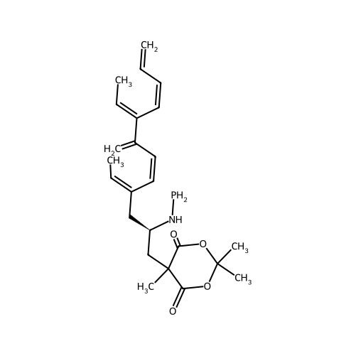 C=C/C=C\C(=C/C)C(=C)/C=C\C(=C/C)C[C@H](CC1(C)C(=O)OC(C)(C)OC1=O)NP